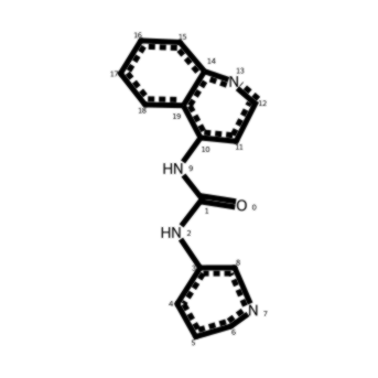 O=C(Nc1cccnc1)Nc1ccnc2ccccc12